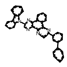 c1ccc(-c2cccc(-c3cnc4c(n3)c3ccccc3c3nc(-n5c6ccccc6c6ccccc65)cnc34)c2)cc1